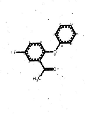 CC(=O)c1cc(F)ccc1Oc1ccccc1